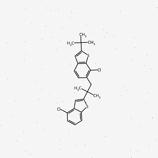 CC(C)(C)c1cc2ccc(CC(C)(C)c3cc4c(Cl)cccc4s3)c(Cl)c2s1